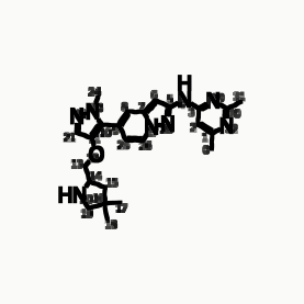 Cc1cc(Nc2cc3cc(-c4c(OCC5CC(C)(C)CN5)cnn4C)ccn3n2)nc(C)n1